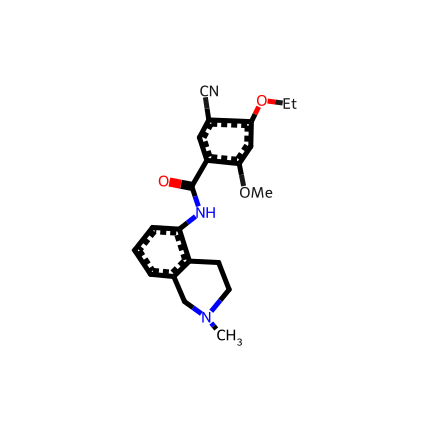 CCOc1cc(OC)c(C(=O)Nc2cccc3c2CCN(C)C3)cc1C#N